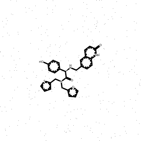 O=C([C@H](NCc1ccc2[nH]c(=O)ccc2c1)c1ccc(O)cc1)N(Cc1ccco1)Cc1cccs1